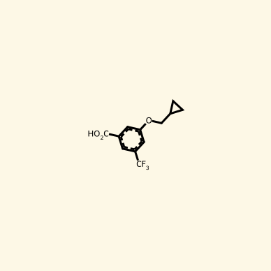 O=C(O)c1cc(OCC2CC2)cc(C(F)(F)F)c1